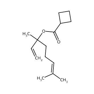 C=CC(C)(CCC=C(C)C)OC(=O)C1CCC1